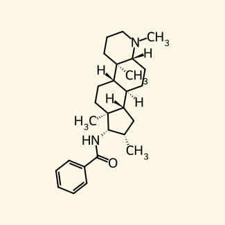 C[C@H]1C[C@H]2[C@@H]3CC[C@H]4N(C)CCC[C@]4(C)[C@H]3CC[C@]2(C)[C@H]1NC(=O)c1ccccc1